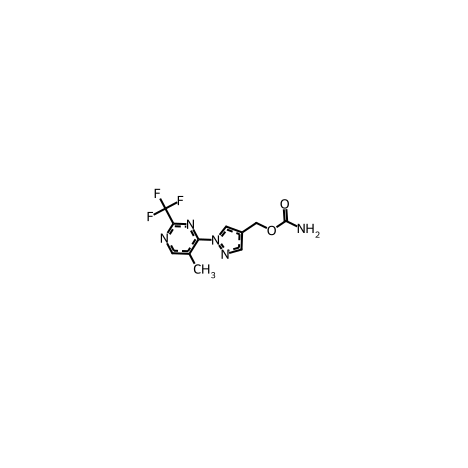 Cc1cnc(C(F)(F)F)nc1-n1cc(COC(N)=O)cn1